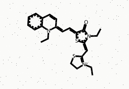 CCN1/C(=C/C=c2\s/c(=C\C3=[N+](CC)CCS3)n(CC)c2=O)C=Cc2ccccc21